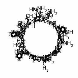 CCCC[C@H]1C(=O)N[C@@H](CCCNC(=N)N)C(=O)NC(C(=O)NCC(N)=O)CSCC(=O)N[C@@H](Cc2ccc(O)cc2)C(=O)N(C)[C@@H](C)C(=O)N[C@@H](CC(N)=O)C(=O)N2CCC[C@H]2C(=O)N[C@@H](CO)C(=O)N[C@@H](CC(C)C)C(=O)N2CCCC2C(=O)N[C@@H](Cc2c[nH]c3ccccc23)C(=O)N[C@@H](CO)C(=O)N[C@@H](Cc2csc3ccccc23)C(=O)N(C)[C@@H](CCSC)C(=O)N1C